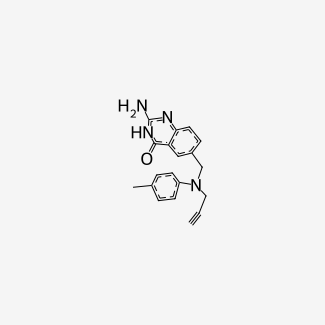 C#CCN(Cc1ccc2nc(N)[nH]c(=O)c2c1)c1ccc(C)cc1